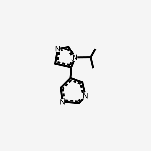 CC(C)n1cncc1-c1cncnc1